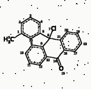 Cc1cccc(C2(Cl)c3ccccc3C(=O)c3ccccc32)c1